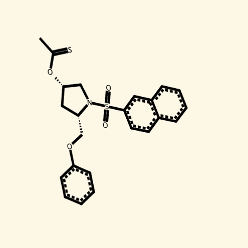 CC(=S)O[C@H]1C[C@@H](COc2ccccc2)N(S(=O)(=O)c2ccc3ccccc3c2)C1